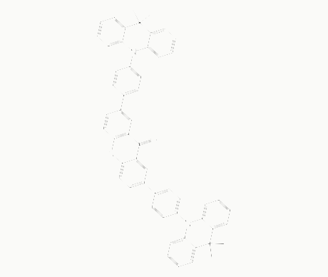 CC1(C)c2ccccc2N(c2ccc(-c3ccc4sc5ccc(-c6ccc(N7c8ccccc8C(C)(C)c8ccccc87)cc6)cc5c(=O)c4c3)cc2)c2ccccc21